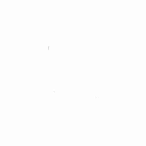 O=C(CBr)c1ccc(Br)cc1Br